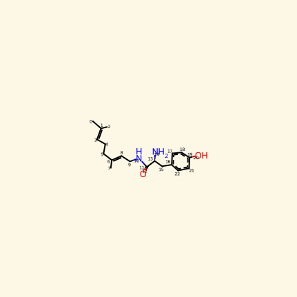 CC(C)=CCC/C(C)=C/CNC(=O)[C@@H](N)Cc1ccc(O)cc1